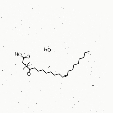 CCCCCCCC/C=C\CCCCCCCC(=O)[N+](C)(C)CC(=O)O.[OH-]